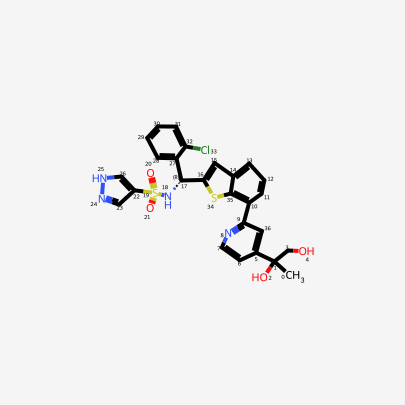 CC(O)(CO)c1ccnc(-c2cccc3cc([C@H](NS(=O)(=O)c4cn[nH]c4)c4ccccc4Cl)sc23)c1